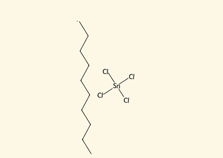 [CH2]CCCCCCCCC.[Cl][Sn]([Cl])([Cl])[Cl]